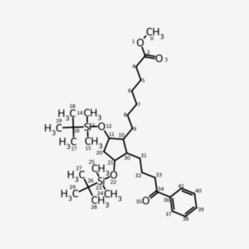 COC(=O)CCCCCCC1C(O[Si](C)(C)C(C)(C)C)CC(O[Si](C)(C)C(C)(C)C)C1CCCC(=O)c1ccccc1